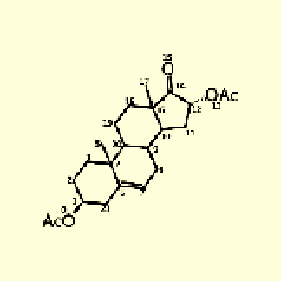 CC(=O)O[C@H]1CCC2(C)C(=CCC3C4C[C@@H](OC(C)=O)C(=O)C4(C)CCC32)C1